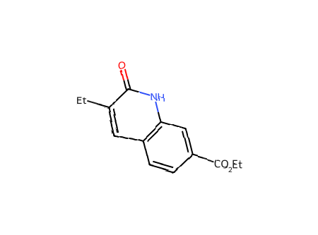 CCOC(=O)c1ccc2cc(CC)c(=O)[nH]c2c1